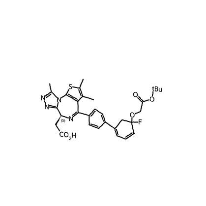 Cc1sc2c(c1C)C(c1ccc(C3=CC=CC(F)(OCC(=O)OC(C)(C)C)C3)cc1)=N[C@@H](CC(=O)O)c1nnc(C)n1-2